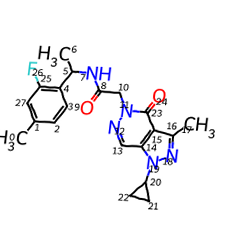 Cc1ccc(C(C)NC(=O)Cn2ncc3c(c(C)nn3C3CC3)c2=O)c(F)c1